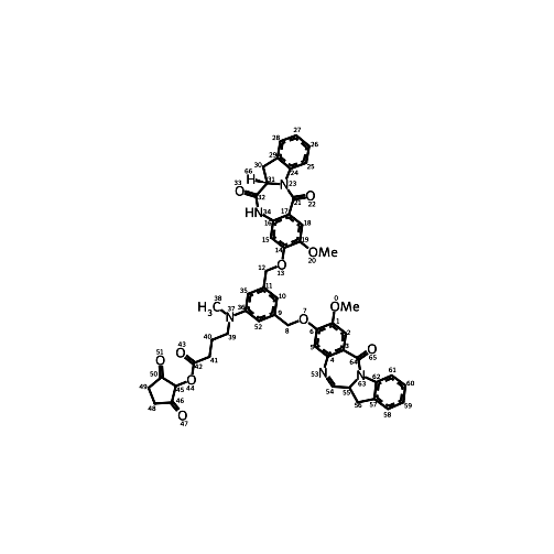 COc1cc2c(cc1OCc1cc(COc3cc4c(cc3OC)C(=O)N3c5ccccc5C[C@H]3C(=O)N4)cc(N(C)CCCC(=O)OC3C(=O)CCC3=O)c1)N=CC1Cc3ccccc3N1C2=O